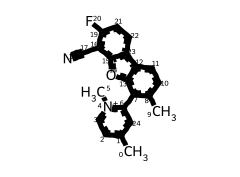 Cc1cc[n+](C)c(-c2c(C)ccc3c2oc2c(C#N)c(F)ccc23)c1